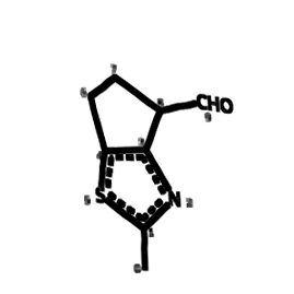 Cc1nc2c(s1)CCC2C=O